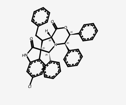 O=C1O[C@@H](c2ccccc2)[C@@H](c2ccccc2)N2[C@@H]1C(Cc1ccccc1)[C@@]1(C(=O)Nc3cc(Cl)ccc31)[C@H]2c1ccccc1